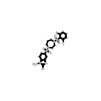 Cn1c(=O)sc2cc(S(=O)(=O)N3CCCN(S(=O)(=O)c4c(F)cccc4F)CC3)ccc21